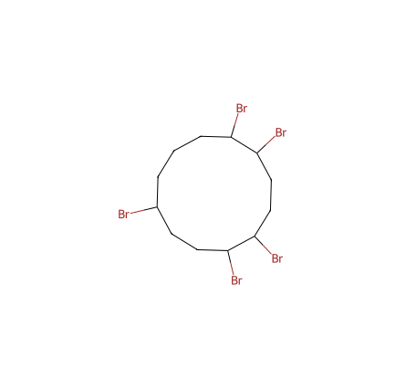 BrC1CCCC(Br)C(Br)CCC(Br)C(Br)CC1